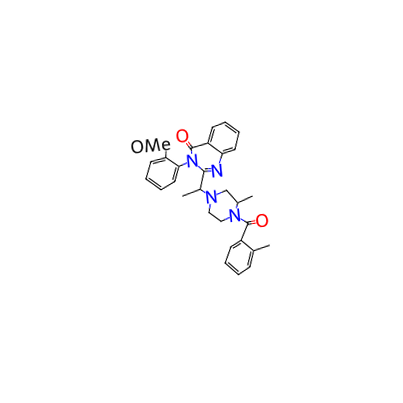 COc1ccccc1-n1c(C(C)N2CCN(C(=O)c3ccccc3C)C(C)C2)nc2ccccc2c1=O